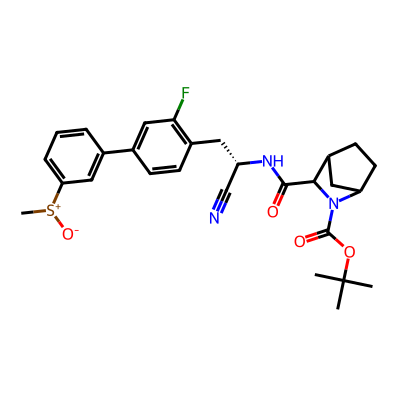 C[S+]([O-])c1cccc(-c2ccc(C[C@@H](C#N)NC(=O)C3C4CCC(C4)N3C(=O)OC(C)(C)C)c(F)c2)c1